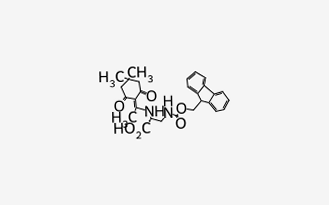 CC(N[C@@H](CNC(=O)OCC1c2ccccc2-c2ccccc21)C(=O)O)=C1C(=O)CC(C)(C)CC1=O